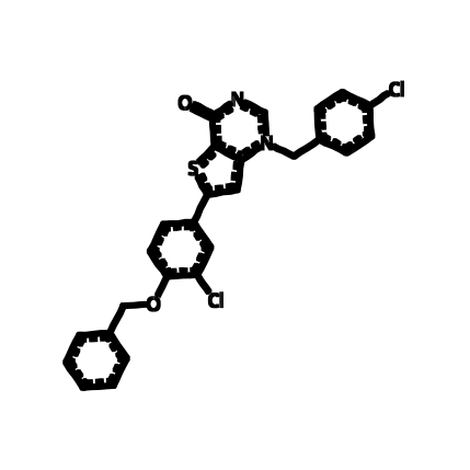 O=c1ncn(Cc2ccc(Cl)cc2)c2cc(-c3ccc(OCc4ccccc4)c(Cl)c3)sc12